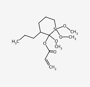 C=CC(=O)OC1(OC)C(CCC)CCC[Si]1(OC)OC